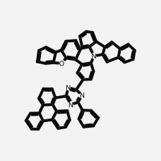 c1ccc(-c2nc(-c3ccc(-n4c5ccccc5c5cc6ccccc6cc54)c(-c4cccc5c4oc4ccccc45)c3)nc(-c3cccc4c5ccccc5c5ccccc5c34)n2)cc1